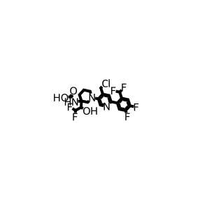 O=C(O)NC1(C(O)C(F)F)CCCN(c2cnc(-c3cc(F)c(F)cc3C(F)F)cc2CCl)C1